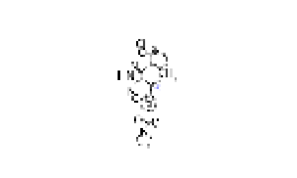 C=Nc1[nH]nc(-c2ccccc2OC)c1/C(=C\C)c1ccc(S(=O)(=O)N2CCCC2)cc1